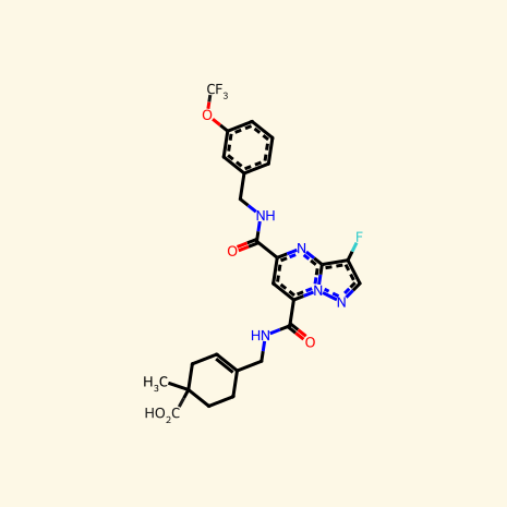 CC1(C(=O)O)CC=C(CNC(=O)c2cc(C(=O)NCc3cccc(OC(F)(F)F)c3)nc3c(F)cnn23)CC1